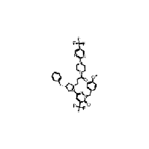 COc1ccc(Cn2nc(N3C[C@H](Cc4ccccc4)C[C@H]3CCC(=O)N3CCN(c4ncc(C(F)(F)F)cn4)CC3)cc(C(F)(F)F)c2=O)cc1